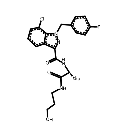 CC(C)(C)[C@H](NC(=O)c1nn(Cc2ccc(F)cc2)c2c(Cl)cccc12)C(=O)NCCCO